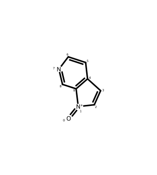 O=[N+]1C=Cc2ccncc21